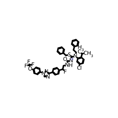 CC(C)c1ccc(Cl)cc1N(CCc1ccccc1)/C(=N/C(=O)NCC(F)c1ccc(-c2ncn(-c3ccc(OC(F)(F)F)cc3)n2)cc1)SCc1ccccc1